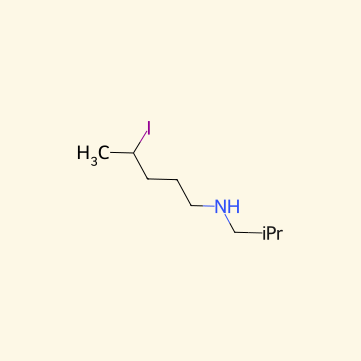 CC(C)CNCCCC(C)I